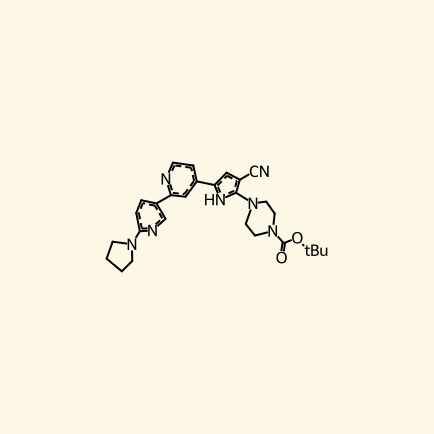 CC(C)(C)OC(=O)N1CCN(c2[nH]c(-c3ccnc(-c4ccc(N5CCCC5)nc4)c3)cc2C#N)CC1